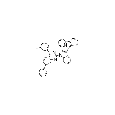 CC1C=CC=C(c2nc(-n3c4ccccc4c4c3c3cccc5c6ccccc6c4n53)nc3cc(-c4ccccc4)ccc23)C1